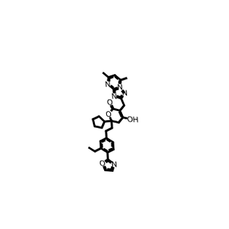 CCc1cc(CCC2(C3CCCC3)CC(O)=C(Cc3nc4nc(C)cc(C)n4n3)C(=O)O2)ccc1-c1ncco1